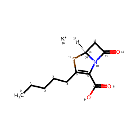 CCCCCC1=C(C(=O)[O-])N2C(=O)C[C@@H]2S1.[K+]